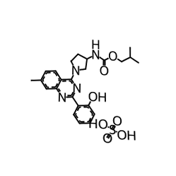 Cc1ccc2c(N3CCC(NC(=O)OCC(C)C)C3)nc(-c3ccccc3O)nc2c1.O=S(=O)(O)O